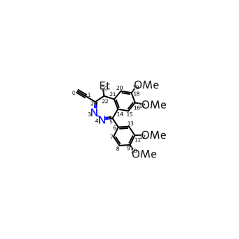 C#CC1=NN=C(c2ccc(OC)c(OC)c2)c2cc(OC)c(OC)cc2C1CC